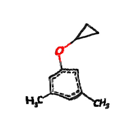 Cc1cc(C)cc(OC2CC2)c1